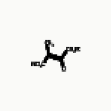 CCOC(=O)/C(C)=C(\Cl)C(=O)OCC